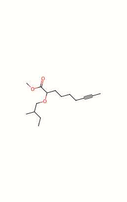 CC#CCCCCC(OCC(C)CC)C(=O)OC